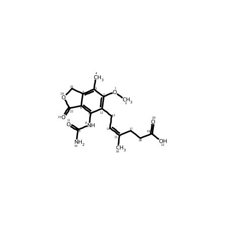 COc1c(C)c2c(c(NC(N)=O)c1CC=C(C)CCC(=O)O)C(=O)OC2